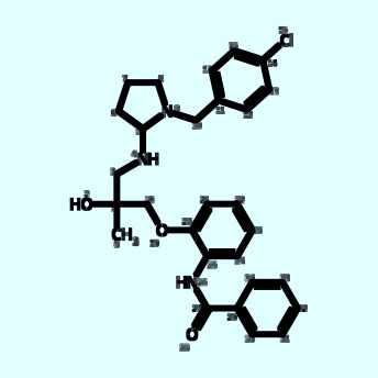 CC(O)(CNC1CCCN1Cc1ccc(Cl)cc1)COc1ccccc1NC(=O)c1ccccc1